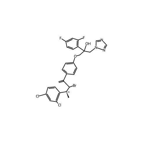 C=C(c1ccc(OCC(O)(Cn2cncn2)c2ccc(F)cc2F)cc1)C(Br)[C@@H](C)c1ccc(Cl)cc1Cl